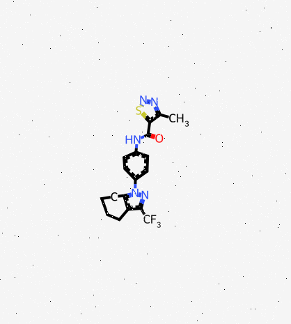 Cc1nnsc1C(=O)Nc1ccc(-n2nc(C(F)(F)F)c3c2CCCC3)cc1